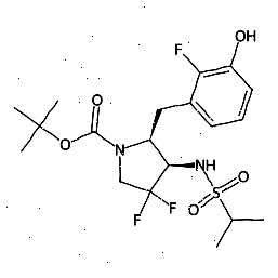 CC(C)S(=O)(=O)N[C@@H]1[C@H](Cc2cccc(O)c2F)N(C(=O)OC(C)(C)C)CC1(F)F